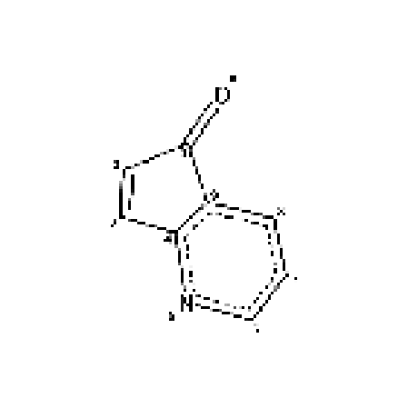 O=C1C=Cc2ncccc21